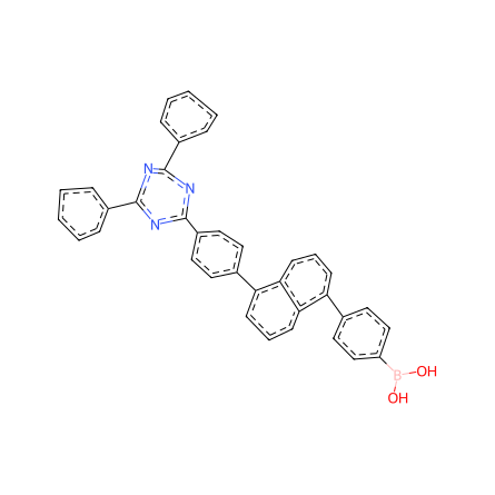 OB(O)c1ccc(-c2cccc3c(-c4ccc(-c5nc(-c6ccccc6)nc(-c6ccccc6)n5)cc4)cccc23)cc1